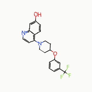 Oc1ccc2c(N3CCC(Oc4cccc(C(F)(F)F)c4)CC3)ccnc2c1